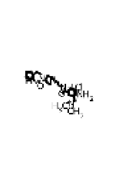 CCN(CC)Cc1cc(C(=O)NCCN2CCC(N3CCc4ccccc4NC3=O)CC2)cc(Cl)c1N